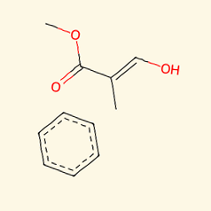 COC(=O)C(C)=CO.c1ccccc1